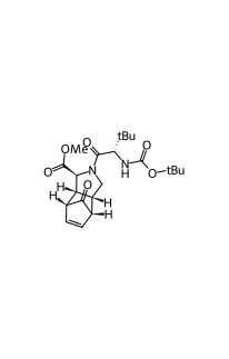 COC(=O)[C@@H]1[C@@H]2[C@H](CN1C(=O)[C@@H](NC(=O)OC(C)(C)C)C(C)(C)C)[C@@H]1C=C[C@H]2C1=O